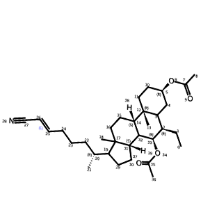 CC[C@@H]1C2C[C@H](OC(C)=O)CC[C@@]2(C)[C@H]2CCC3(C)C([C@H](C)CCC/C=C/C#N)CC[C@H]3C2[C@@H]1OC(C)=O